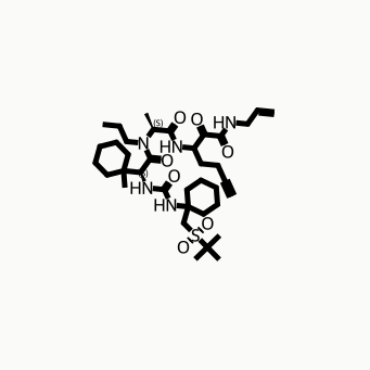 C#CCCC(NC(=O)[C@H](C)N(CCC)C(=O)[C@@H](NC(=O)NC1(CS(=O)(=O)C(C)(C)C)CCCCC1)C1(C)CCCCC1)C(=O)C(=O)NCC=C